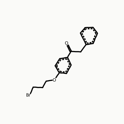 O=C(Cc1ccccc1)c1ccc(OCCCBr)cc1